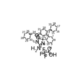 CN1C(=O)C(c2ccccc2)(c2cc(-c3ccccc3)ccc2OCc2ccccc2)N=C1N.O=C(O)C(F)(F)F